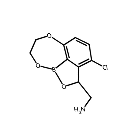 NCC1OB2OCCOc3ccc(Cl)c1c32